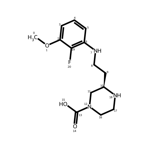 COc1cccc(NCC[C@@H]2CN(C(=O)O)CCN2)c1F